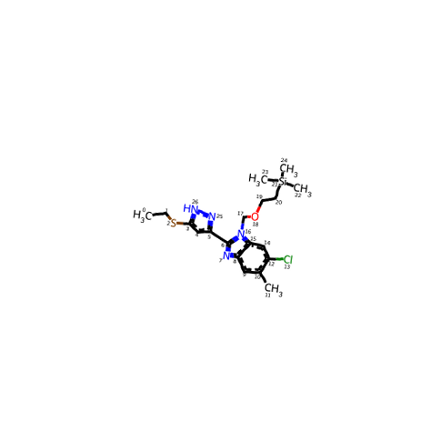 CCSc1cc(-c2nc3cc(C)c(Cl)cc3n2COCC[Si](C)(C)C)n[nH]1